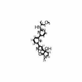 COCC(C)Nc1nccc(-c2cccc(-c3cc(C4(O)CCN(C)C4=O)on3)n2)n1